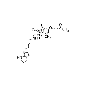 CC(=O)CCCOc1cc(C)c(S(=O)(=O)NC(CNC(=O)CCCCc2ccc3c(n2)NCCC3)C(=O)O)c(C)c1